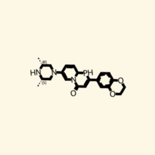 C[C@@H]1CN(C2=CN3C(=O)C=C(c4ccc5c(c4)OCCO5)PC3C=C2)C[C@H](C)N1